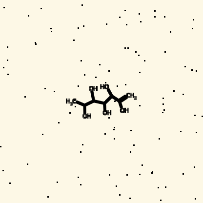 C=C(O)C(O)C(O)C(O)C(C)O